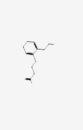 O=C(O)CCCC1=CCCC=C1CCO